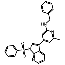 Cc1cc(-c2cn(S(=O)(=O)c3ccccc3)c3ncccc23)cc(NCc2ccccc2)n1